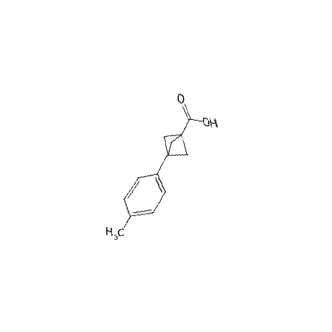 Cc1ccc(C23CC(C(=O)O)(C2)C3)cc1